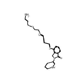 NCCCOCCOCCCSc1cccc2c1CN(C1CCCNC1)C2=O